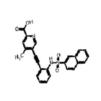 Cc1cc(C(=O)O)ncc1C#Cc1ccccc1NS(=O)(=O)c1ccc2ccccc2c1